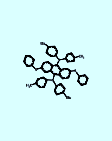 Cc1ccc(N(c2ccc(C(C)(C)C)cc2)c2c3ccc(Sc4ccccc4)cc3c(N(c3ccc(C)cc3)c3ccc(C(C)(C)C)cc3)c3ccc(Sc4ccccc4)cc23)cc1